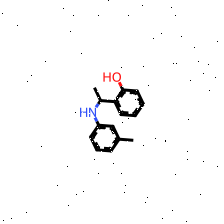 Cc1cccc(NC(C)c2ccccc2O)c1